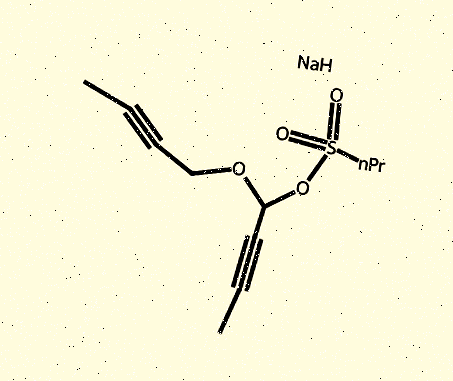 CC#CCOC(C#CC)OS(=O)(=O)CCC.[NaH]